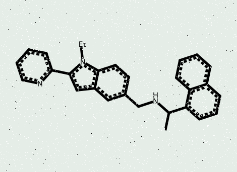 CCn1c(-c2ccccn2)cc2cc(CNC(C)c3cccc4ccccc34)ccc21